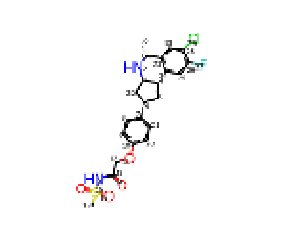 C[C@@H](NC1CC[C@@H](c2ccc(OCC(=O)NS(C)(=O)=O)cc2)C1)c1ccc(F)c(Cl)c1